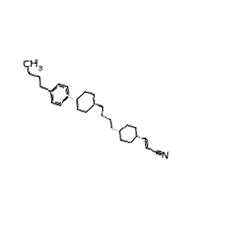 CCCCc1ccc([C@H]2CC[C@H](CCCC[C@H]3CC[C@H](C=CC#N)CC3)CC2)cc1